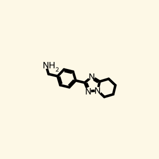 NCc1ccc(-c2nc3n(n2)CCCC3)cc1